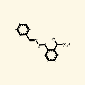 O=C(O)C(O)c1ccccc1CO/N=C/c1ccccc1